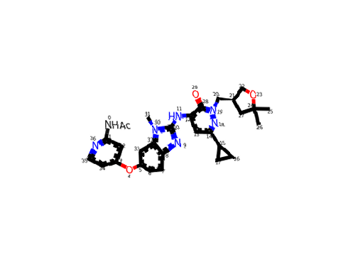 CC(=O)Nc1cc(Oc2ccc3nc(Nc4cc(C5CC5)nn(C[C@H]5COC(C)(C)C5)c4=O)n(C)c3c2)ccn1